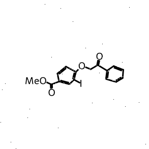 COC(=O)c1ccc(OCC(=O)c2ccccc2)c(I)c1